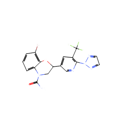 NC(=O)N1CC(c2cnc(-n3nccn3)c(C(F)(F)F)c2)Oc2c(Br)cccc21